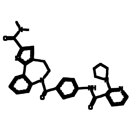 CN(C)C(=O)c1cc2c(s1)-c1ccccc1N(C(=O)c1ccc(NC(=O)c3cccnc3N3CCCC3)cc1)CC2